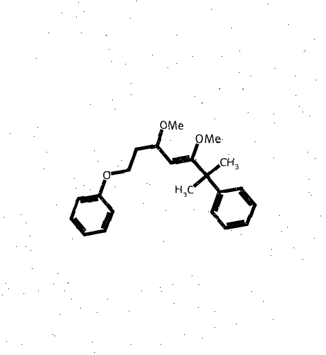 CO/C(=C\C(CCOc1ccccc1)OC)C(C)(C)c1ccccc1